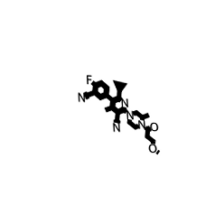 COCCC(=O)N1CCN(c2nc(C3CC3)c(-c3ccc(F)c(C#N)c3)c(C)c2C#N)CC1C